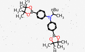 CCCCC(C)N(c1ccc(B2OC(C)(C)C(C)(C)O2)cc1)c1ccc(B2OC(C)(C)C(C)(C)O2)cc1